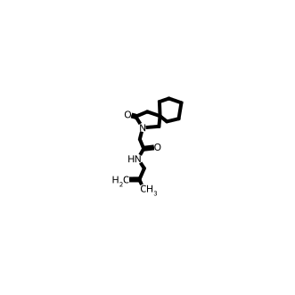 C=C(C)CNC(=O)CN1CC2(CCCCC2)CC1=O